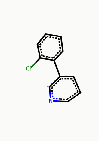 Clc1ccccc1-c1[c]nccc1